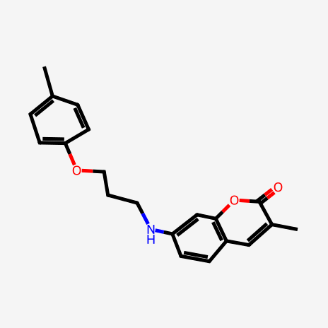 Cc1ccc(OCCCNc2ccc3cc(C)c(=O)oc3c2)cc1